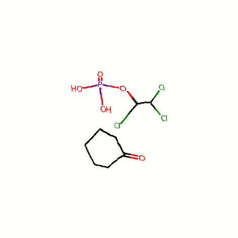 O=C1CCCCC1.O=P(O)(O)OC(Cl)C(Cl)Cl